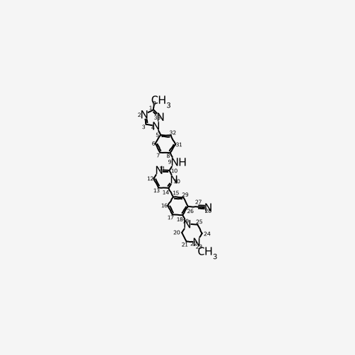 Cc1ncn(-c2ccc(Nc3nccc(-c4ccc(N5CCN(C)CC5)c(C#N)c4)n3)cc2)n1